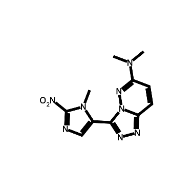 CN(C)c1ccc2nnc(-c3cnc([N+](=O)[O-])n3C)n2n1